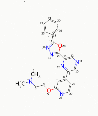 CN(C)CCOc1cc(-c2cncc(-c3nnc(-c4ccccc4)o3)n2)ccn1